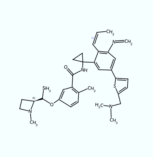 C=Nc1cc(-c2ccc(CN(C)C)s2)cc(C2(NC(=O)c3cc(OC([SiH3])[C@@H]4CCN4C)ccc3C)CC2)c1/C=C\C